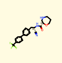 N#C[C@H](Cc1ccc(-c2ccc(C(F)(F)F)cc2)cc1)NC(=O)[C@@H]1CNCCCO1